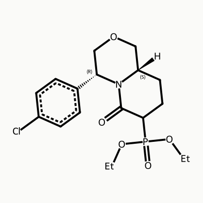 CCOP(=O)(OCC)C1CC[C@H]2COC[C@@H](c3ccc(Cl)cc3)N2C1=O